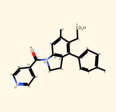 Cc1ccc(-c2c(CC(=O)O)c(C)cc3c2CCN3C(=O)c2ccncc2)cc1